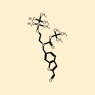 CC(C)(C)OC(=O)N(CCO[Si](C)(C)C(C)(C)C)Cc1ccc2cc(C=O)oc2c1